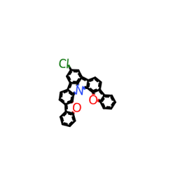 Clc1cc2c3ccc4c5ccccc5oc4c3n3c2c(c1)c1ccc2c4ccccc4oc2c13